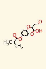 C=C(C)C(=O)Oc1ccc(OC(CC=O)C(=O)O)cc1